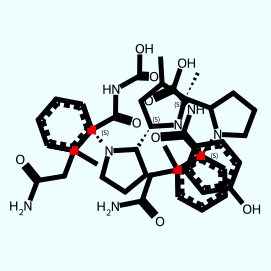 CC1C[C@@H](C2CCCN2[C@@]2(C(=O)NC(=O)O)c3ccc(cc3)C2(C)CC(N)=O)N(c2ccc(O)cc2)[C@]1(C)C1CCCN1[C@@]1(C(=O)NC(=O)O)c2ccc(cc2)C1(C)CC(N)=O